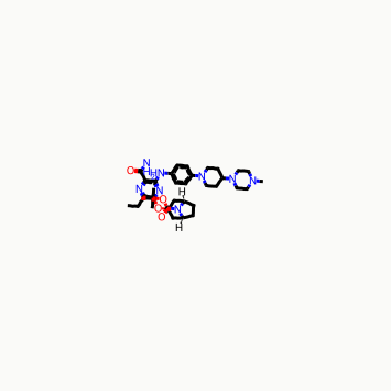 CCc1nc(C(N)=O)c(Nc2ccc(N3CCC(N4CCN(C)CC4)CC3)cc2)nc1O[C@H]1C[C@H]2CC[C@@H](C1)N2C(=O)OC(C)(C)C